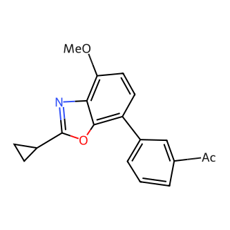 COc1ccc(-c2cccc(C(C)=O)c2)c2oc(C3CC3)nc12